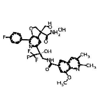 COc1cc(C(=O)NC[C@](O)(c2cc3c(c(-c4ccc(F)cc4)n2)OC[C@]3(CO)C(N)=O)C(F)(F)F)cc2cc(C)c(C)nc12.Cl